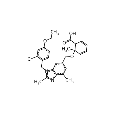 CCOc1ccc(Cn2c(C)nc3c(C)cc(COC4(C)C=CC=CC4C(=O)O)cc32)c(Cl)c1